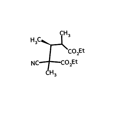 CCOC(=O)C(C)[C@H](C)C(C)(C#N)C(=O)OCC